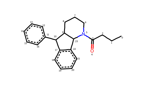 CCCC(=O)N1CCCC2C(c3ccccc3)c3ccccc3C21